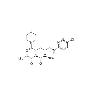 CC1CCN(C(=O)C(CCCNc2ccc(Cl)nn2)N(C(=O)OC(C)(C)C)C(=O)OC(C)(C)C)CC1